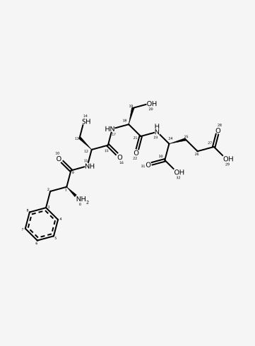 N[C@@H](Cc1ccccc1)C(=O)N[C@@H](CS)C(=O)N[C@@H](CO)C(=O)N[C@@H](CCC(=O)O)C(=O)O